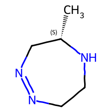 C[C@H]1CN=NCCN1